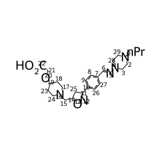 CCCN1CCN(N=Cc2ccc(C3=NOC(CN4CCC(OCC(=O)O)CC4)C3)cc2)CC1